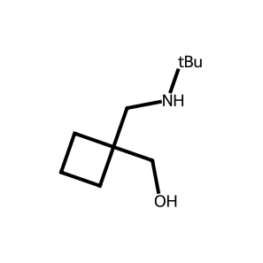 CC(C)(C)NCC1(CO)CCC1